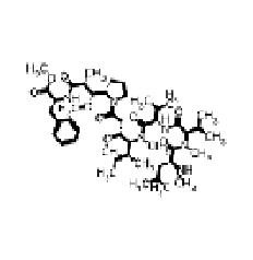 CC[C@H](C)C([C@@H](CC(=O)N1CCC[C@H]1[C@H](OC)[C@@H](C)C(=O)N[C@@H](Cc1ccccc1)C(=O)OC)OC)N(C)C(=O)[C@@H](NC(=O)C(C(C)C)N(C)C(=O)[C@H](CC(C)C)NC)C(C)C